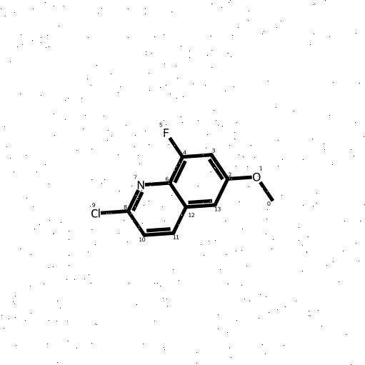 COc1cc(F)c2nc(Cl)ccc2c1